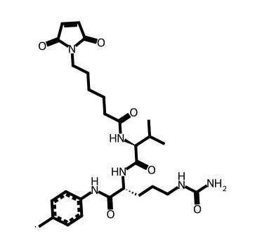 [CH2]c1ccc(NC(=O)[C@@H](CCCNC(N)=O)NC(=O)[C@@H](NC(=O)CCCCCN2C(=O)C=CC2=O)C(C)C)cc1